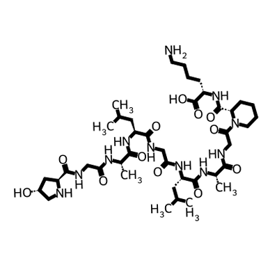 CC(C)C[C@H](NC(=O)CNC(=O)[C@H](CC(C)C)NC(=O)[C@H](C)NC(=O)CNC(=O)[C@@H]1C[C@@H](O)CN1)C(=O)N[C@@H](C)C(=O)NCC(=O)N1CCCC[C@H]1C(=O)N[C@@H](CCCCN)C(=O)O